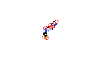 CC(C)(C)OC(=O)N1C2COCC1CC(OCc1nc(-c3ccc(S(C)(=O)=O)c(F)c3)no1)C2